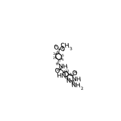 COC(=O)c1ccc(CNC(=O)c2cc3c(=O)[nH]c(N)nc3[nH]2)cc1